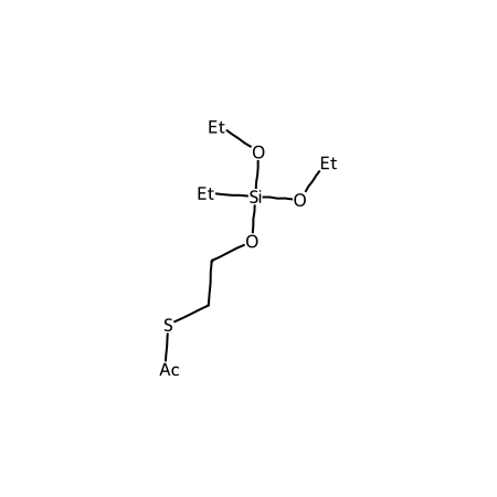 CCO[Si](CC)(OCC)OCCSC(C)=O